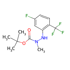 CN(Nc1cc(F)ccc1C(F)(F)F)C(=O)OC(C)(C)C